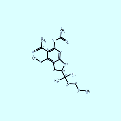 COc1c2c(cc(OC(C)=O)c1C(C)=O)OC(C(C)(C)OCSC)C2